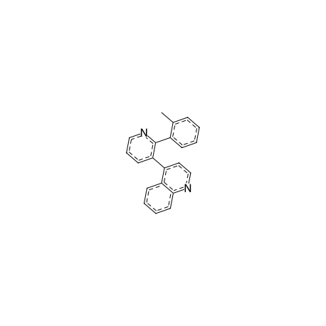 Cc1ccccc1-c1ncccc1-c1ccnc2ccccc12